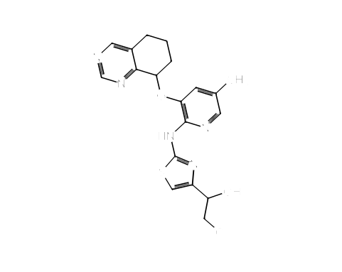 Cc1cnc(Nc2nc(C(O)CO)cs2)c(OC2CCCc3cncnc32)c1